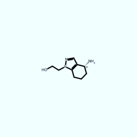 N[C@@H]1CCCc2c1cnn2CCO